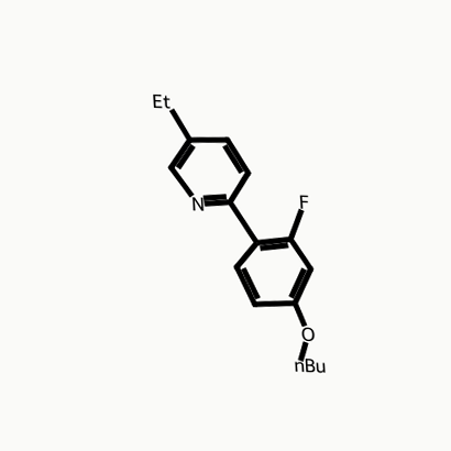 CCCCOc1ccc(-c2ccc(CC)cn2)c(F)c1